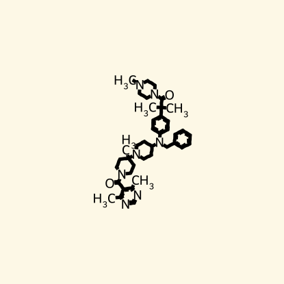 Cc1ncnc(C)c1C(=O)N1CCC(C)(N2CCC(N(Cc3ccccc3)c3ccc(C(C)(C)C(=O)N4CCN(C)CC4)cc3)CC2)CC1